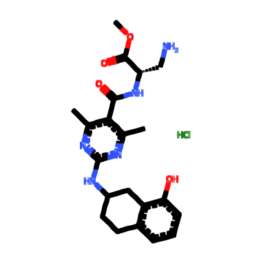 COC(=O)[C@H](CN)NC(=O)c1c(C)nc(NC2CCc3cccc(O)c3C2)nc1C.Cl